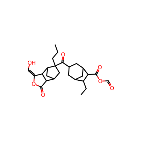 CCCC1(C(=O)C2CC3CC(C2)C(C(=O)OC=O)C3CC)CC2CC1C1C(=CO)OC(=O)C21